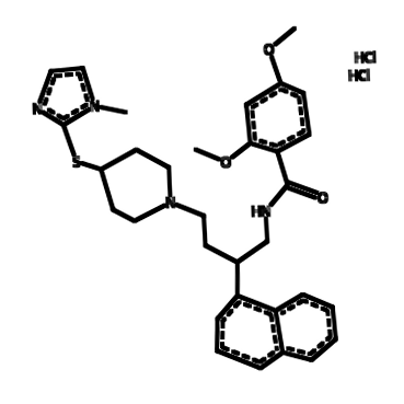 COc1ccc(C(=O)NCC(CCN2CCC(Sc3nccn3C)CC2)c2cccc3ccccc23)c(OC)c1.Cl.Cl